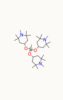 CN1C(C)(C)CC(O[Si](C)(OC2CC(C)(C)N(C)C(C)(C)C2)OC2CC(C)(C)N(C)C(C)(C)C2)CC1(C)C